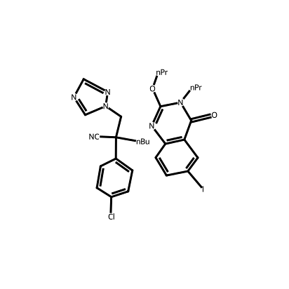 CCCCC(C#N)(Cn1cncn1)c1ccc(Cl)cc1.CCCOc1nc2ccc(I)cc2c(=O)n1CCC